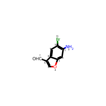 Nc1cc2occ(C=O)c2cc1Br